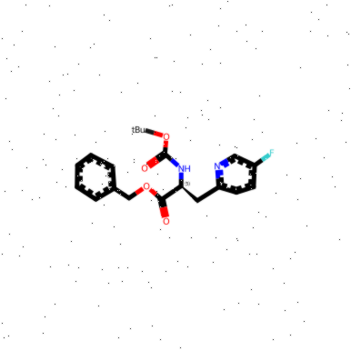 CC(C)(C)OC(=O)N[C@@H](Cc1ccc(F)cn1)C(=O)OCc1ccccc1